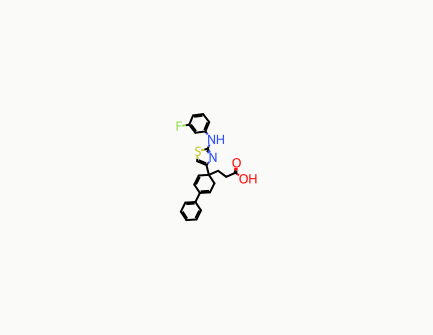 O=C(O)CCC1(c2csc(Nc3cccc(F)c3)n2)C=CC(c2ccccc2)=CC1